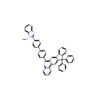 CCn1c(-c2ccc(-c3ccc(-c4nc5ccccc5c5cc6c(cc45)-c4ccccc4C6(c4ccccc4)c4ccccc4)cc3)cc2)nc2ccccc21